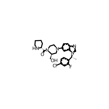 C[C@H](c1ccc(Cl)cc1F)n1cnc2ccc(N3CCN(C(=O)[C@H]4CCCCN4)[C@H](CO)C3)cc21